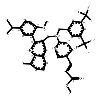 COC(=O)C=Cc1cnc(N(Cc2cc(C(F)(F)F)cc(C(F)(F)F)c2)Cc2cc3cccc(C)c3nc2-c2cc(C(C)C)ccc2OC)nc1